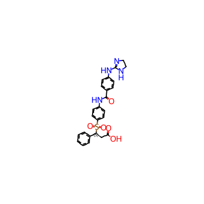 O=C(O)C[C@@H](c1ccccc1)S(=O)(=O)c1ccc(NC(=O)c2ccc(NC3=NCCN3)cc2)cc1